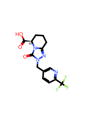 O=C(O)[C@H]1CCCc2nn(Cc3ccc(C(F)(F)F)nc3)c(=O)n21